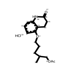 CC(=O)OCC(C)CCCOc1cccc2c1CCC(=O)N2.Cl